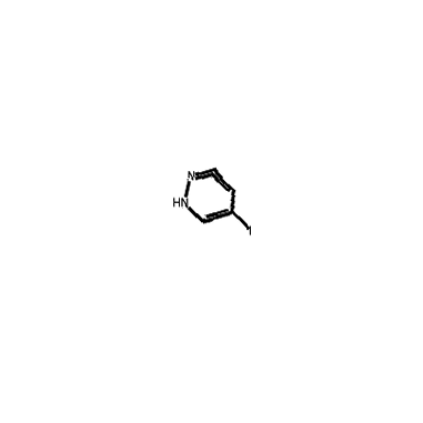 IC1=CNN=C=C1